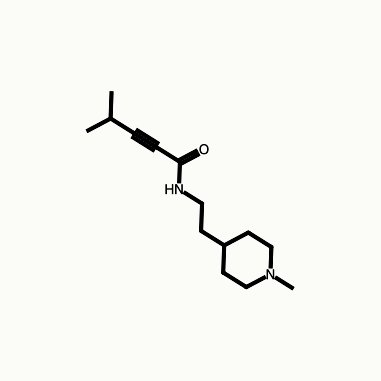 CC(C)C#CC(=O)NCCC1CCN(C)CC1